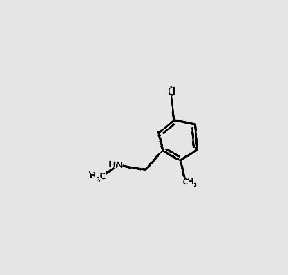 CNCc1cc(Cl)ccc1C